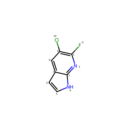 Fc1nc2[nH]ccc2cc1Cl